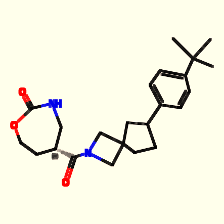 CC(C)(C)c1ccc(C2CCC3(C2)CN(C(=O)[C@@H]2CCOC(=O)NC2)C3)cc1